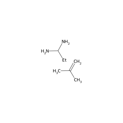 C=C(C)C.CCC(N)N